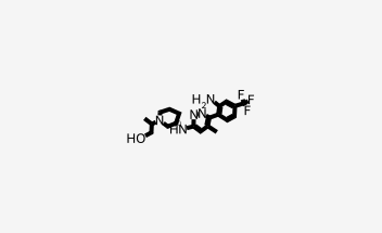 Cc1cc(N[C@@H]2CCCN(C(C)CO)C2)nnc1-c1ccc(C(F)(F)F)cc1N